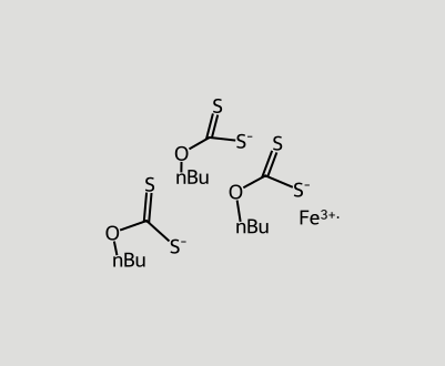 CCCCOC(=S)[S-].CCCCOC(=S)[S-].CCCCOC(=S)[S-].[Fe+3]